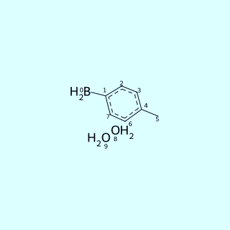 Bc1ccc(C)cc1.O.O